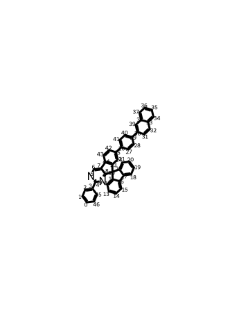 c1ccc(-c2ncc3c(n2)C2(c4ccccc4-c4ccccc42)c2cc(-c4ccc(-c5ccc6ccccc6c5)cc4)ccc2-3)cc1